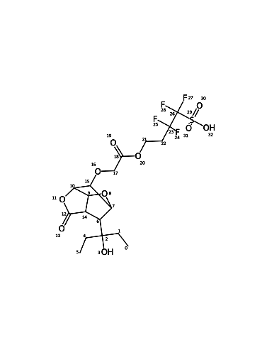 CCC(O)(CC)C1C2OC3C(OC(=O)C31)C2OCC(=O)OCCC(F)(F)C(F)(F)S(=O)(=O)O